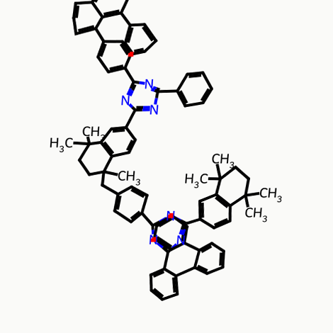 CC1(C)CCC(C)(C)c2cc(-c3nc(-c4ccc(CC5(C)CCC(C)(C)c6cc(-c7nc(-c8ccccc8)nc(-c8ccc(-c9cccc%10cccc(-c%11ccccc%11)c9%10)cc8)n7)ccc65)cc4)nc(-c4ccccc4-c4ccccc4-c4ccccc4)n3)ccc21